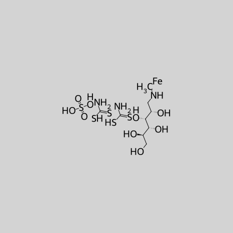 CNC[C@H](O)[C@@H](O)[C@H](O)[C@H](O)CO.NC(=S)S.NC(=S)S.O=S(=O)(O)O.[Fe]